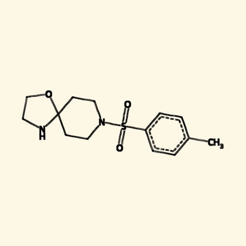 Cc1ccc(S(=O)(=O)N2CCC3(CC2)NCCO3)cc1